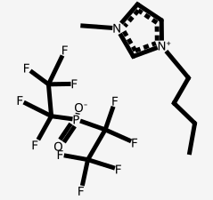 CCCC[n+]1ccn(C)c1.O=P([O-])(C(F)(F)C(F)(F)F)C(F)(F)C(F)(F)F